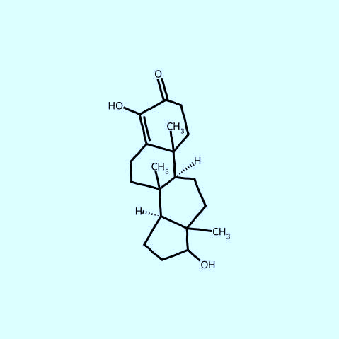 CC12CCC(=O)C(O)=C1CCC1(C)[C@@H]2CCC2(C)C(O)CC[C@H]21